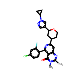 Cc1nc2cc(C3CCOC(c4cnn(C5CC5)c4)C3)nc(-c3ccc(Cl)cc3F)c2c(=O)n1C